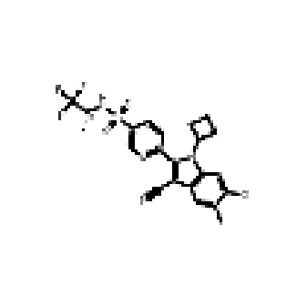 Cc1cc2c(C#N)c(-c3ccc(S(=O)(=O)N[C@H](C)C(F)(F)F)cn3)n(C3CCC3)c2cc1Cl